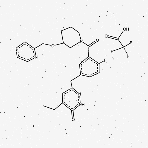 CCc1cc(Cc2ccc(F)c(C(=O)N3CCCC(OCc4ccccn4)C3)c2)n[nH]c1=O.O=C(O)C(F)(F)F